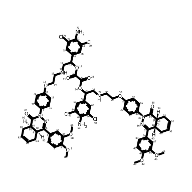 COc1ccc(C2=NN(c3ccc(OCCNCC(OC(=O)C(=O)OC(CNCCOc4ccc(N5N=C(c6ccc(OC)c(OC)c6)[C@H]6CC=CC[C@H]6C5=O)cc4)c4cc(Cl)c(N)c(Cl)c4)c4cc(Cl)c(N)c(Cl)c4)cc3)C(=O)[C@@H]3CC=CC[C@H]23)cc1OC